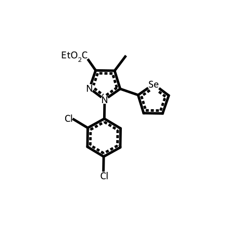 CCOC(=O)c1nn(-c2ccc(Cl)cc2Cl)c(-c2ccc[se]2)c1C